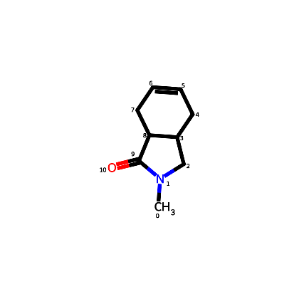 CN1CC2CC=CCC2C1=O